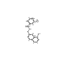 Fc1cccc2ccc(CCNc3cc(Cl)ncn3)cc12